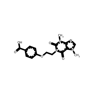 Cn1cnc2c1c(=O)n(CCOc1ccc(C(=O)O)cc1)c(=O)n2C